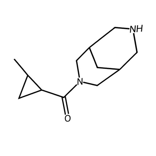 CC1CC1C(=O)N1CC2CNCC(C2)C1